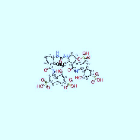 Cc1c(NC(=O)Nc2cccc(C(=O)N=C3C=C(S(=O)(=O)O)Cc4cc(S(=O)(=O)O)cc(O)c43)c2C)cccc1C(=O)N=C1C=C(S(=O)(=O)O)Cc2cc(S(=O)(=O)O)cc(O)c21